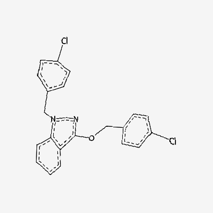 Clc1ccc(COc2nn(Cc3ccc(Cl)cc3)c3ccccc23)cc1